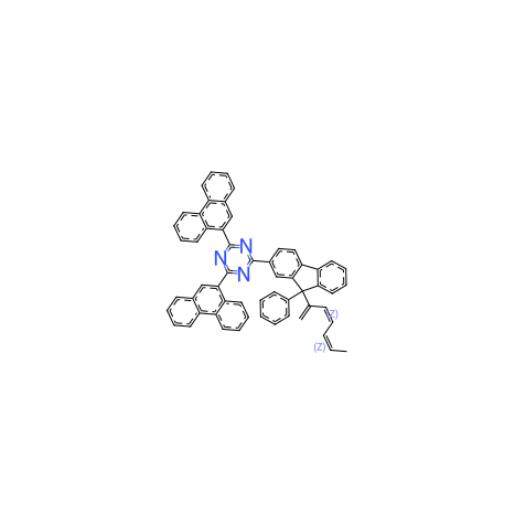 C=C(/C=C\C=C/C)C1(c2ccccc2)c2ccccc2-c2ccc(-c3nc(-c4cc5ccccc5c5ccccc45)nc(-c4cc5ccccc5c5ccccc45)n3)cc21